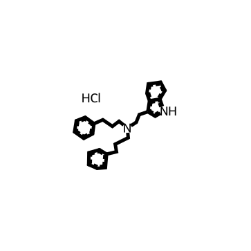 Cl.c1ccc(CCCN(CCCc2ccccc2)CCc2c[nH]c3ccccc23)cc1